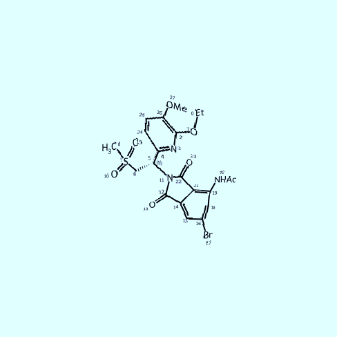 CCOc1nc([C@@H](CS(C)(=O)=O)N2C(=O)c3cc(Br)cc(NC(C)=O)c3C2=O)ccc1OC